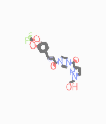 O=C(/C=C/c1ccc2c(c1)OC(F)(F)O2)N1CCN(C(=O)c2ccn(CCO)n2)CC1